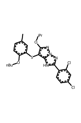 CCCCOc1ccc(C)cc1Sc1c(OC(C)C)nn2nc(-c3ccc(Cl)cc3Cl)[nH]c12